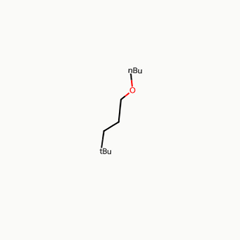 CCCCOCCCC(C)(C)C